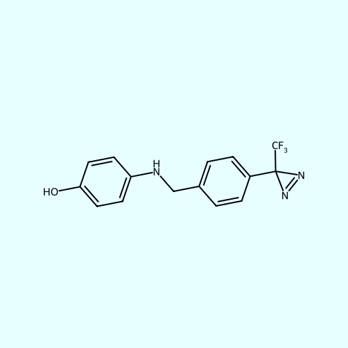 Oc1ccc(NCc2ccc(C3(C(F)(F)F)N=N3)cc2)cc1